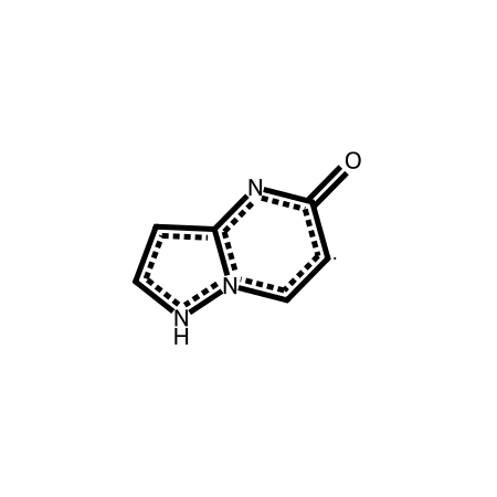 O=c1[c]cn2[nH]ccc2n1